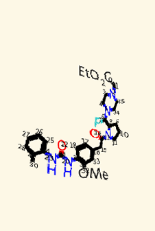 CCOC(=O)CN1CCN(C(F)C2CCCN2C(=O)Cc2ccc(NC(=O)Nc3ccccc3C)c(OC)c2)CC1